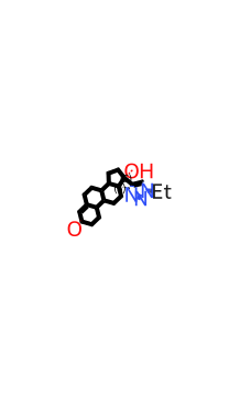 CCn1cc([C@]2(O)CCC3C4CCC5=CC(=O)CCC5C4CC[C@@]32C)nn1